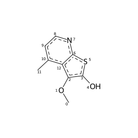 COc1c(O)sc2nccc(C)c12